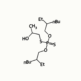 CCCCC(CC)COP(=S)(OCC(CC)CCCC)SCC(C)O